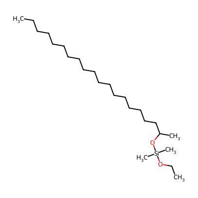 CCCCCCCCCCCCCCCCCCC(C)O[Si](C)(C)OCC